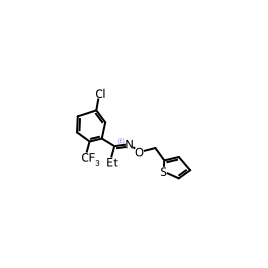 CC/C(=N\OCc1cccs1)c1cc(Cl)ccc1C(F)(F)F